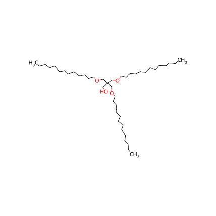 CCCCCCCCCCCCCOCC(CO)(COCCCCCCCCCCCCC)COCCCCCCCCCCCCC